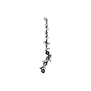 CCOCCOCCOCCOCCOCCC(=O)NCCCNCc1ccc(-c2c3ncn(CC4(O)CCN(C(=O)CC(C)c5ccccc5)CC4)c(=O)c3nn2C)cc1